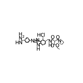 CCOC(=O)C(C(=O)NCc1ccc2[nH]c(CNc3ccc(C(=N)N)cc3)nc2c1C)C(=O)N1CCCC1.Cl